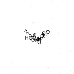 CO[C@@H](C(=O)N[C@@H](C)C(=O)NCC1CC(Cc2ccccc2)C(=O)O1)C(O)CC/C=C/C(C)(C)C